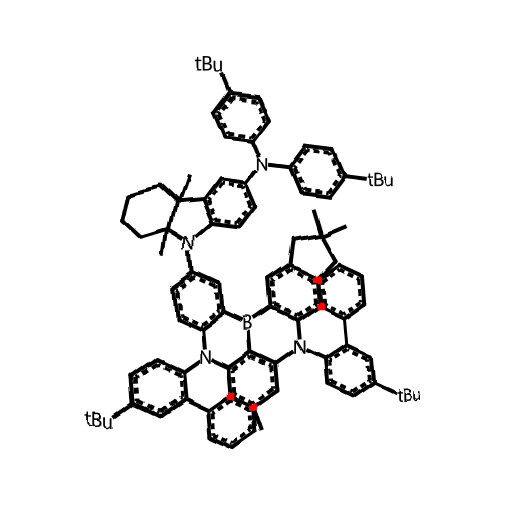 Cc1cc2c3c(c1)N(c1ccc(C(C)(C)C)cc1-c1ccccc1)c1cc4c(cc1B3c1cc(N3c5ccc(N(c6ccc(C(C)(C)C)cc6)c6ccc(C(C)(C)C)cc6)cc5C5(C)CCCCC35C)ccc1N2c1ccc(C(C)(C)C)cc1-c1ccccc1)CC(C)(C)C4